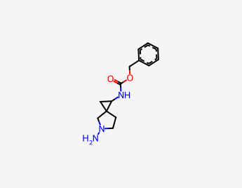 NN1CCC2(CC2NC(=O)OCc2ccccc2)C1